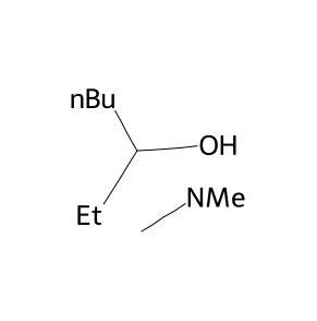 CNC.[CH2]CCCC(O)CC